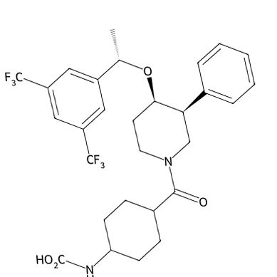 C[C@H](O[C@@H]1CCN(C(=O)C2CCC(NC(=O)O)CC2)C[C@@H]1c1ccccc1)c1cc(C(F)(F)F)cc(C(F)(F)F)c1